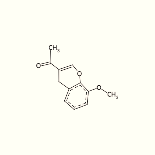 COc1cccc2c1OC=C(C(C)=O)C2